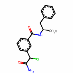 NC(=O)C(Cl)c1cccc(C(=O)N[C@@H](Cc2ccccc2)C(=O)O)c1